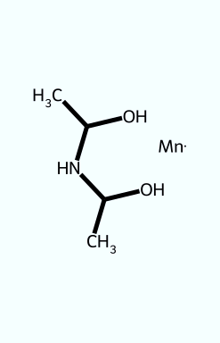 CC(O)NC(C)O.[Mn]